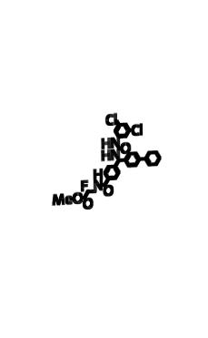 COC(=O)C(F)CNC(=O)c1ccc(C(NC(=O)Nc2cc(Cl)cc(Cl)c2)c2ccc(C3=CCCCC3)cc2)cc1